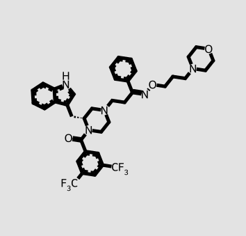 O=C(c1cc(C(F)(F)F)cc(C(F)(F)F)c1)N1CCN(CC/C(=N/OCCCN2CCOCC2)c2ccccc2)C[C@H]1Cc1c[nH]c2ccccc12